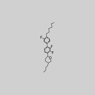 CCCCCCc1ccc(-c2ccc(C3CCC(CCCC)CO3)c(F)c2F)cc1F